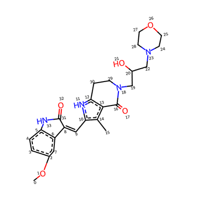 COc1ccc2c(c1)/C(=C/c1[nH]c3c(c1C)C(=O)N(CC(O)CN1CCOCC1)CC3)C(=O)N2